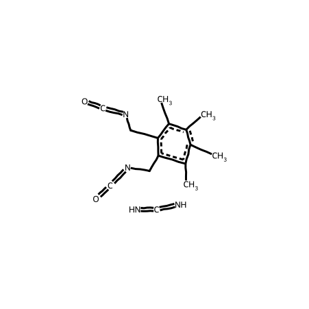 Cc1c(C)c(C)c(CN=C=O)c(CN=C=O)c1C.N=C=N